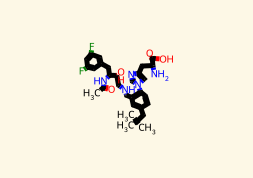 CC(=O)NC(Cc1cc(F)cc(F)c1)C(O)CNCc1cc(CC(C)(C)C)ccc1-n1cnc(CC(N)C(=O)O)c1